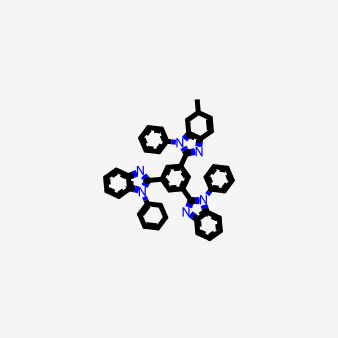 CC1C=Cc2nc(-c3cc(-c4nc5ccccc5n4C4=CC=CCC4)cc(-c4nc5ccccc5n4-c4ccccc4)c3)n(-c3ccccc3)c2C1